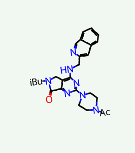 CCC(C)N1Cc2c(NCc3cc4ccccc4cn3)nc(N3CCN(C(C)=O)CC3)nc2C1=O